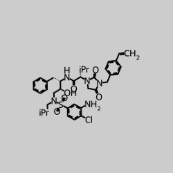 C=Cc1ccc(CN2C(=O)CN([C@H](C(=O)N[C@@H](Cc3ccccc3)[C@@H](O)CN(CC(C)C)S(=O)(=O)c3ccc(Cl)c(N)c3)C(C)C)C2=O)cc1